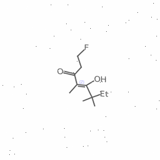 CCC(C)(C)/C(O)=C(\C)C(=O)CCF